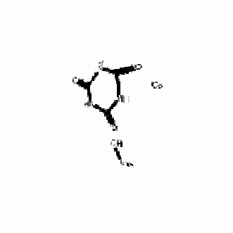 O=c1[nH]c(=O)[nH]c(=O)[nH]1.[Co].[OH][SnH3]